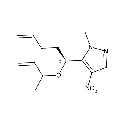 C=CCC[C@H](OC(C)C=C)c1c([N+](=O)[O-])cnn1C